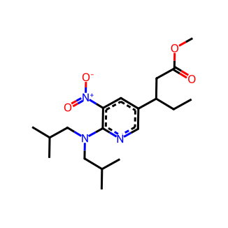 CCC(CC(=O)OC)c1cnc(N(CC(C)C)CC(C)C)c([N+](=O)[O-])c1